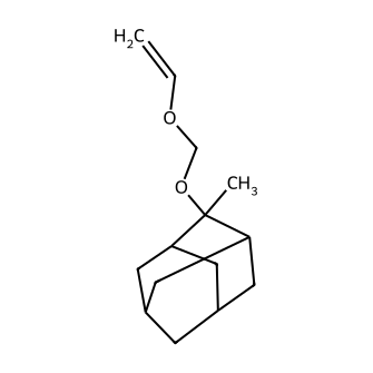 C=COCOC1(C)C2CC3CC(C2)CC1C3